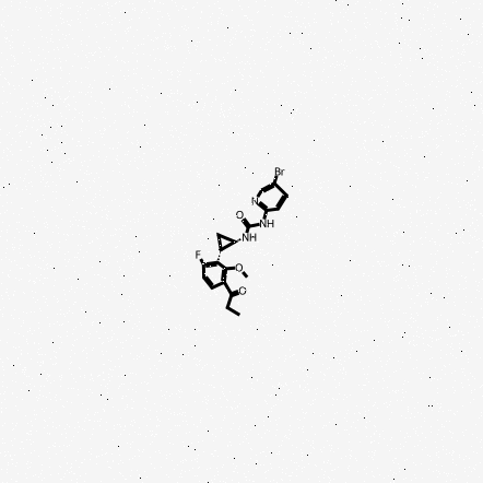 CCC(=O)c1ccc(F)c([C@@H]2C[C@@H]2NC(=O)Nc2ccc(Br)cn2)c1OC